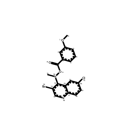 COc1cccc(C(=O)ON(C)c2c(Br)cnc3ccc(Cl)cc23)c1